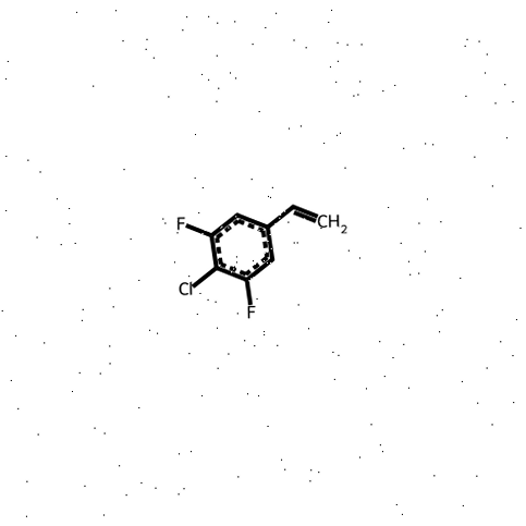 C=Cc1cc(F)c(Cl)c(F)c1